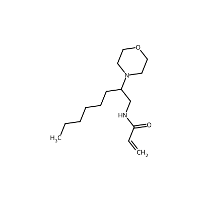 C=CC(=O)NCC(CCCCCC)N1CCOCC1